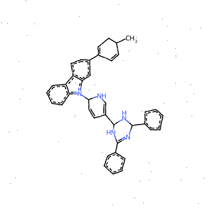 CC1C=CC(c2ccc3c4ccccc4n(C4C=CC(C5NC(c6ccccc6)=NC(c6ccccc6)N5)=CN4)c3c2)=CC1